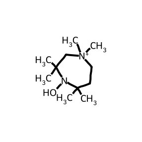 CC1(C)CC[N+](C)(C)CC(C)(C)N1O